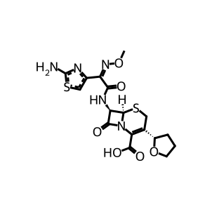 CO/N=C(\C(=O)N[C@@H]1C(=O)N2C(C(=O)O)=C([C@@H]3CCCO3)CS[C@H]12)c1csc(N)n1